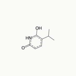 CC(C)c1ccc(=O)[nH]c1O